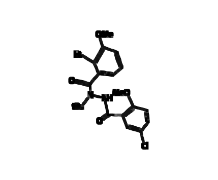 CCc1c(OC)cccc1C(=O)N(NC(=O)c1cc(Cl)ccc1OC)C(C)(C)C